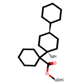 CCCCCCCCCCOC(=O)C1([C@]2(CCC)CC[C@H](C3CCCCC3)CC2)CCCCC1